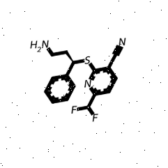 N#Cc1ccc(C(F)F)nc1S[C@H](CCN)c1ccccc1